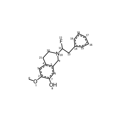 COc1cc2c(cc1O)CN(C(F)Cc1ccccc1)CC2